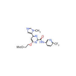 COCCOc1cc(-c2cncn2C)nc(C(=O)Nc2ccc(C(F)(F)F)nc2)n1